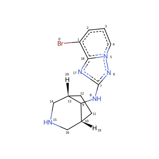 Brc1cccn2nc(NC3[C@@H]4CC[C@H]3CNC4)nc12